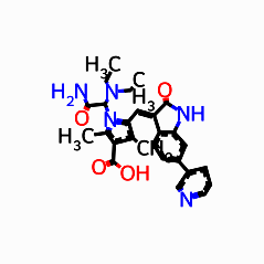 CCN(CC)C(C(N)=O)n1c(C)c(C(=O)O)c(C)c1C=C1C(=O)Nc2cc(-c3cccnc3)ccc21